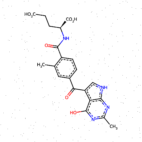 Cc1nc(O)c2c(C(=O)c3ccc(C(=O)N[C@@H](CCC(=O)O)C(=O)O)c(C)c3)c[nH]c2n1